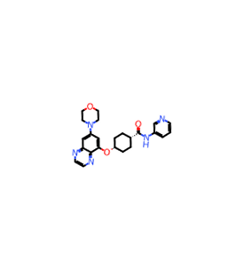 O=C(Nc1cccnc1)[C@H]1CC[C@@H](Oc2cc(N3CCOCC3)cc3nccnc23)CC1